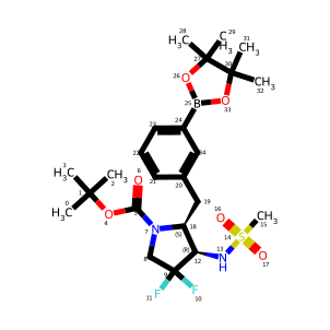 CC(C)(C)OC(=O)N1CC(F)(F)[C@H](NS(C)(=O)=O)[C@@H]1Cc1cccc(B2OC(C)(C)C(C)(C)O2)c1